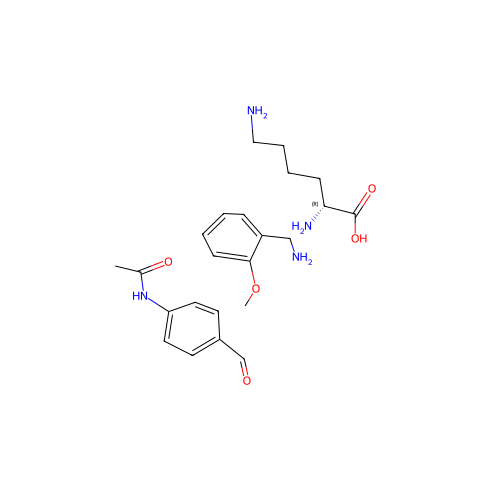 CC(=O)Nc1ccc(C=O)cc1.COc1ccccc1CN.NCCCC[C@@H](N)C(=O)O